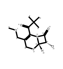 COCC1=C(C(=O)C(C)(C)C)N2C(=O)[C@H](Cl)[C@@H]2SC1